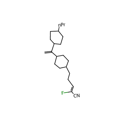 C=C(C1CCC(CCC)CC1)C1CCC(CCC=C(F)C#N)CC1